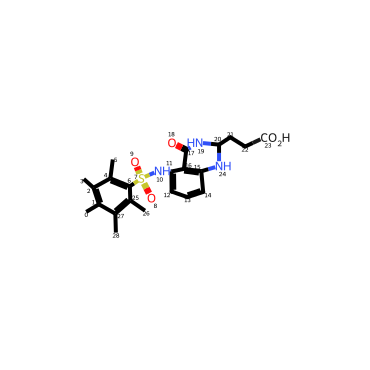 Cc1c(C)c(C)c(S(=O)(=O)Nc2cccc3c2C(=O)NC(CCC(=O)O)N3)c(C)c1C